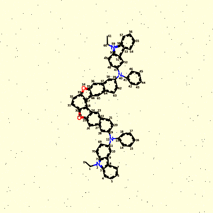 CCn1c2ccccc2c2cc(N(c3ccccc3)c3ccc4cc5c(cc4c3)oc3ccc4oc6cc7cc(N(c8ccccc8)c8ccc9c(c8)c8ccccc8n9CC)ccc7cc6c4c35)ccc21